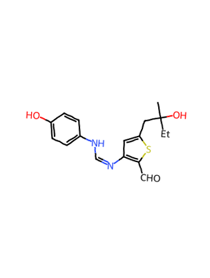 CCC(C)(O)Cc1cc(/N=C\Nc2ccc(O)cc2)c(C=O)s1